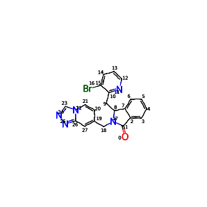 O=C1c2ccccc2C(Cc2ncccc2Br)N1Cc1ccn2cnnc2c1